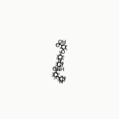 O=C(O)c1cccc(OCC2CCN(c3ccc(NC(=O)c4cccc(-c5cncnc5)c4)cn3)CC2)c1